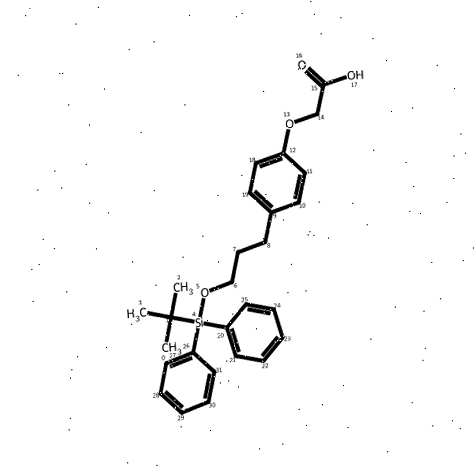 CC(C)(C)[Si](OCCCc1ccc(OCC(=O)O)cc1)(c1ccccc1)c1ccccc1